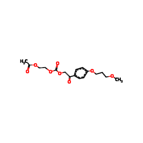 COCCCOc1ccc(C(=O)COC(=O)OCCOC(C)=O)cc1